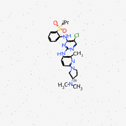 Cc1nc(N2CC[C@H](N(C)C)C2)ccc1Nc1ncc(Cl)c(Nc2ccccc2S(=O)(=O)C(C)C)n1